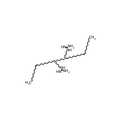 CCCCCCCC/C=C\CCCCCCCCN(CCCCN(CCCCCCCC/C=C\CCCCCCCC)CCCNC(=N)N)CCCNC(=N)N